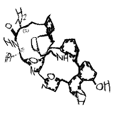 CC(C)[C@@H]1NC(=O)[C@@H](N)Cc2ccc3c(c2)[C@]24c5cccc(c5NC2O3)-c2ccc(O)c3[nH]cc(c23)-c2cnc(o2)-c2nc1oc24